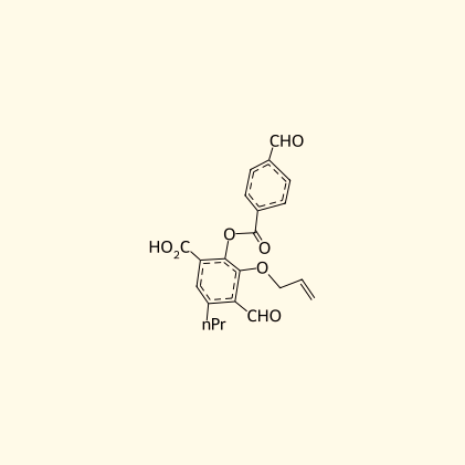 C=CCOc1c(C=O)c(CCC)cc(C(=O)O)c1OC(=O)c1ccc(C=O)cc1